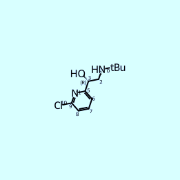 CC(C)(C)NC[C@@H](O)c1cccc(Cl)n1